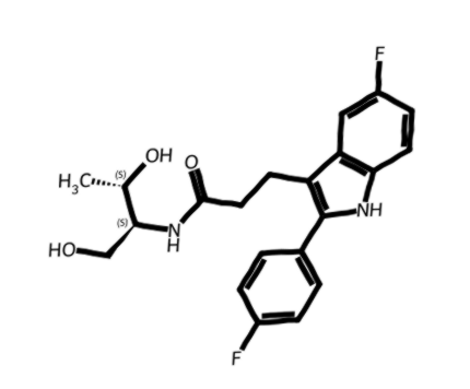 C[C@H](O)[C@H](CO)NC(=O)CCc1c(-c2ccc(F)cc2)[nH]c2ccc(F)cc12